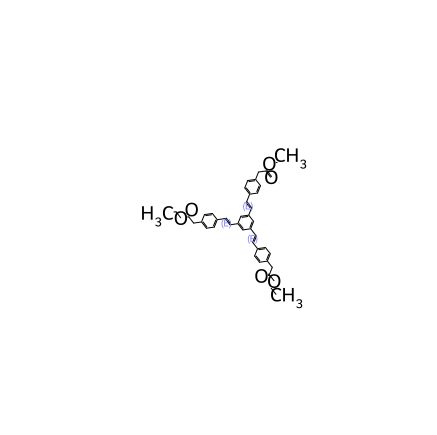 CCOC(=O)Cc1ccc(/C=C/c2cc(/C=C/c3ccc(CC(=O)OCC)cc3)cc(/C=C/c3ccc(CC(=O)OCC)cc3)c2)cc1